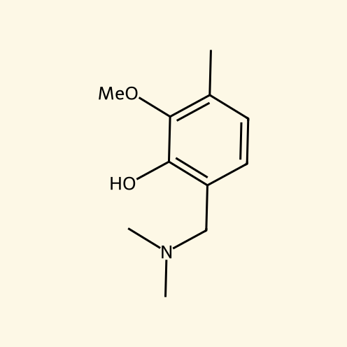 COc1c(C)ccc(CN(C)C)c1O